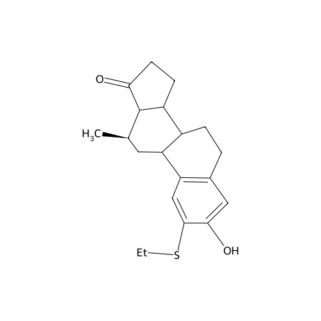 CCSc1cc2c(cc1O)CCC1C2C[C@@H](C)C2C(=O)CCC12